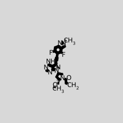 C=CC(=O)N1C[C@@H](n2nc(C#Cc3c(F)cc4nn(C)cc4c3F)c3c(N)ncnc32)C[C@@H]1COC